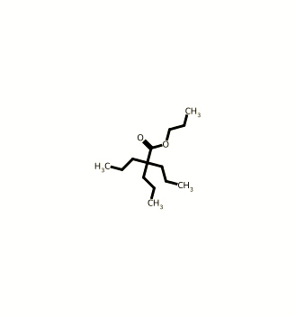 CCCOC(=O)C(CCC)(CCC)CCC